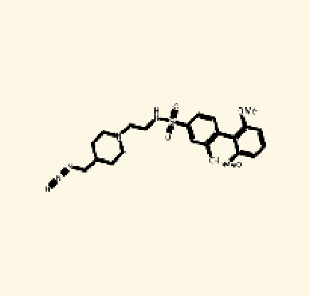 COc1cccc(OC)c1-c1ccc(S(=O)(=O)NCCN2CCC(CN=[N+]=[N-])CC2)cc1C